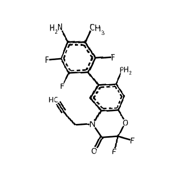 C#CCN1C(=O)C(F)(F)Oc2cc(P)c(-c3c(F)c(C)c(N)c(F)c3F)cc21